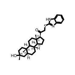 C[C@@]1(O)CC[C@@]2(C)[C@@H](CC[C@@H]3[C@@H]2CC[C@]2(C)[C@@H](C(=O)CSc4nc5ccccc5[nH]4)CC[C@@H]32)C1